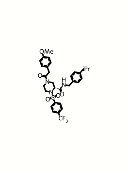 COc1ccc(CC(=O)N2CCN(S(=O)(=O)c3ccc(C(F)(F)F)cc3)[C@@H](C(=O)NCc3ccc(C(C)C)cc3)C2)cc1